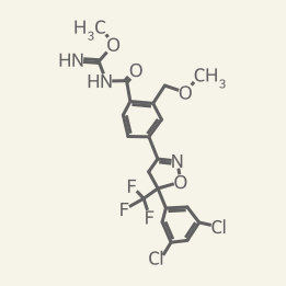 COCc1cc(C2=NOC(c3cc(Cl)cc(Cl)c3)(C(F)(F)F)C2)ccc1C(=O)NC(=N)OC